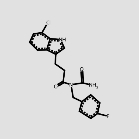 NC(=O)N(Cc1ccc(F)cc1)C(=O)CCc1c[nH]c2c(Cl)cccc12